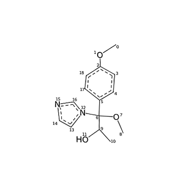 COc1ccc(C(OC)(C(C)O)n2ccnc2)cc1